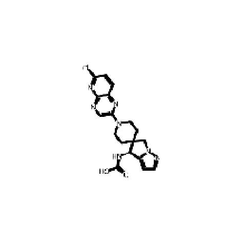 O=C(O)N[C@@H]1c2ccnn2CC12CCN(c1cnc3nc(Cl)ccc3n1)CC2